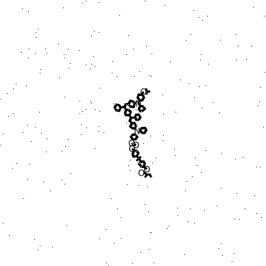 CCC(C)C(=O)Oc1ccc(C(C)(C)c2ccc(OC(=O)Oc3ccc(N(c4ccccc4)c4ccc(/C=C(\c5ccccc5)c5ccc(/C(=C\c6ccc(N(c7ccccc7)c7ccc(OC(C)(C)C)cc7)cc6)c6ccccc6)cc5)cc4)cc3)cc2)cc1